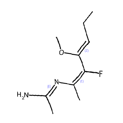 CC/C=C(OC)/C(F)=C(C)\N=C(/C)N